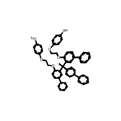 CC(c1ccc(-c2ccccc2)cc1)(c1cc(-c2ccccc2)ccc1OCCOc1ccc(O)cc1)c1cc(-c2ccccc2)ccc1OCCOc1ccc(O)cc1